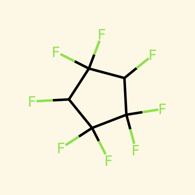 FC1C(F)(F)C(F)C(F)(F)C1(F)F